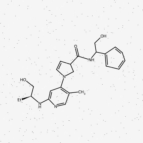 CC[C@@H](CO)Nc1cc(N2C=CC(C(=O)NC(CO)c3ccccc3)C2)c(C)cn1